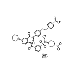 O=C([O-])c1ccc(CCc2ccc(NC(=O)c3cc(N4CCCCC4)ccc3NC(=O)c3cccc(S(=O)(=O)N(C4CC4)[C@H]4CC[C@H](C(=O)[O-])CC4)c3)cc2)cc1.[Na+].[Na+]